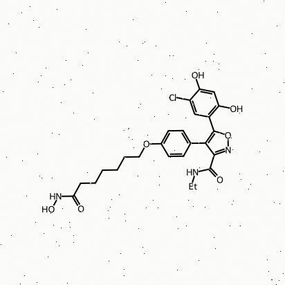 CCNC(=O)c1noc(-c2cc(Cl)c(O)cc2O)c1-c1ccc(OCCCCCCC(=O)NO)cc1